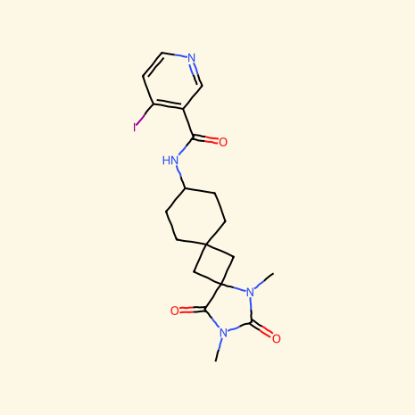 CN1C(=O)N(C)C2(CC3(CCC(NC(=O)c4cnccc4I)CC3)C2)C1=O